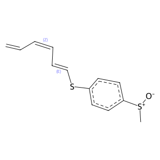 C=C/C=C\C=C\Sc1ccc([S+](C)[O-])cc1